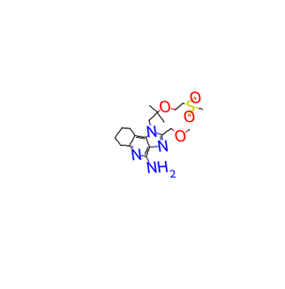 COCc1nc2c(N)nc3c(c2n1CC(C)(C)OCCS(C)(=O)=O)CCCC3